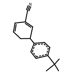 CC(C)(C)c1ccc(C2C=C(C#N)C=CC2)cc1